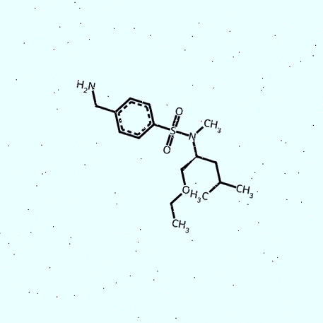 CCOC[C@H](CC(C)C)N(C)S(=O)(=O)c1ccc(CN)cc1